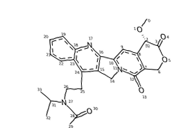 CO[C@@H]1C(=O)OCc2c1cc1n(c2=O)Cc2c-1nc1ccccc1c2CCN(C(C)=O)C(C)C